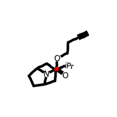 C#CCCOC(=O)N1C2CCC1CC(C(C)C)C2